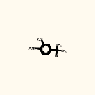 CCC(C)(C)c1ccc(NC(C)=O)c([N+](=O)[O-])c1